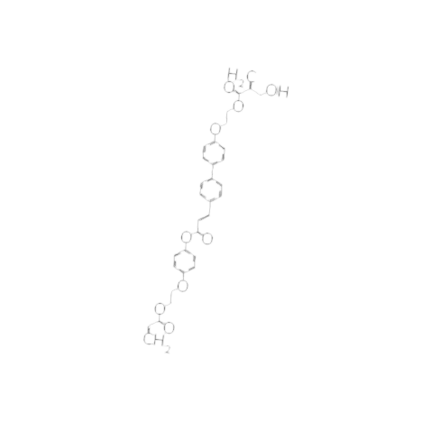 C=CC(=O)OCCOc1ccc(OC(=O)/C=C/c2ccc(-c3ccc(OCCOC(=O)C(=C)CO)cc3)cc2)cc1